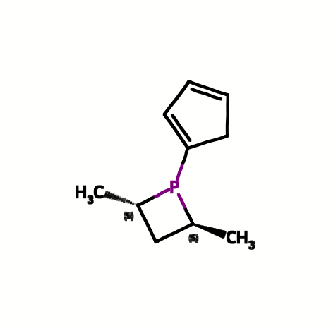 C[C@H]1C[C@H](C)P1C1=CC=CC1